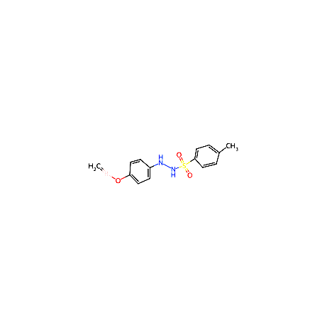 C=BOc1ccc(NNS(=O)(=O)c2ccc(C)cc2)cc1